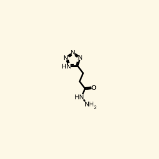 NNC(=O)CCc1nnn[nH]1